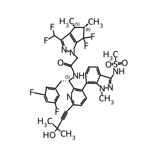 C[C@@H]1c2c(C(F)F)nn(CC(=O)N[C@@H](Cc3cc(F)cc(F)c3)c3nc(C#CC(C)(C)O)ccc3-c3cccc4c(NS(C)(=O)=O)nn(C)c34)c2C(F)(F)[C@@H]1C